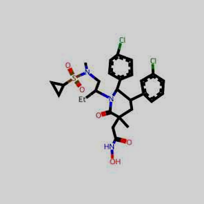 CCC(CN(C)S(=O)(=O)C1CC1)N1C(=O)C(C)(CC(=O)NO)CC(c2cccc(Cl)c2)C1c1ccc(Cl)cc1